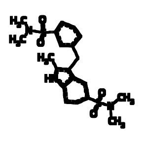 Cc1[nH]c2ccc(S(=O)(=O)N(C)C)cc2c1Cc1cccc(S(=O)(=O)N(C)C)c1